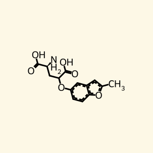 Cc1cc2cc(OC(C[C@H](N)C(=O)O)C(=O)O)ccc2o1